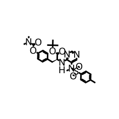 Cc1ccc(S(=O)(=O)N(C)c2cncnc2N[C@@H](Cc2ccc(OC(=O)N(C)C)cc2)C(=O)OC(C)(C)C)cc1